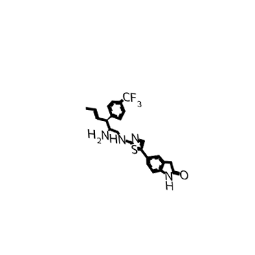 CC=C[C@@H](c1ccc(C(F)(F)F)cc1)[C@H](N)CNc1ncc(-c2ccc3c(c2)CC(=O)N3)s1